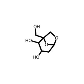 OCC12COC(CC(O)C1O)O2